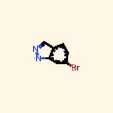 Brc1ccc2c(c1)[N]N=C2